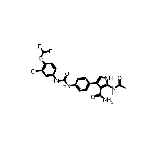 CC(=O)Nc1[nH]cc(-c2ccc(NC(=O)Nc3ccc(OC(F)F)c(Cl)c3)cc2)c1C(N)=O